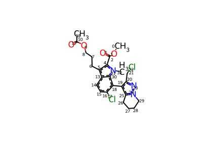 COC(=O)c1c(CCCOC(C)=O)c2ccc(Cl)c(-c3c(CCl)nn4c3CCCC4)c2n1C